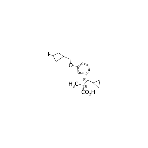 C[C@H](C(=O)O)[C@H](c1cccc(OCC2CC(I)C2)c1)C1CC1